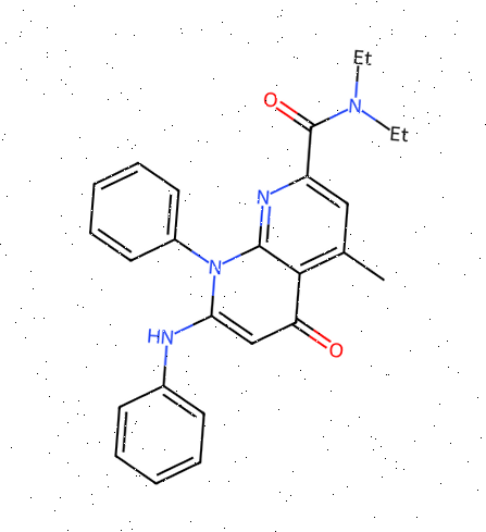 CCN(CC)C(=O)c1cc(C)c2c(=O)cc(Nc3ccccc3)n(-c3ccccc3)c2n1